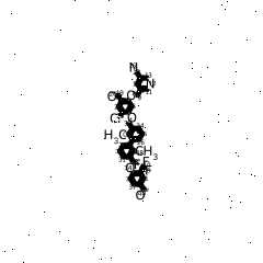 Cc1c(COc2cc(OCc3cncc(C#N)c3)c(C=O)cc2Cl)cccc1-c1cccc(COc2ccc(C=O)cc2C(F)(F)F)c1C